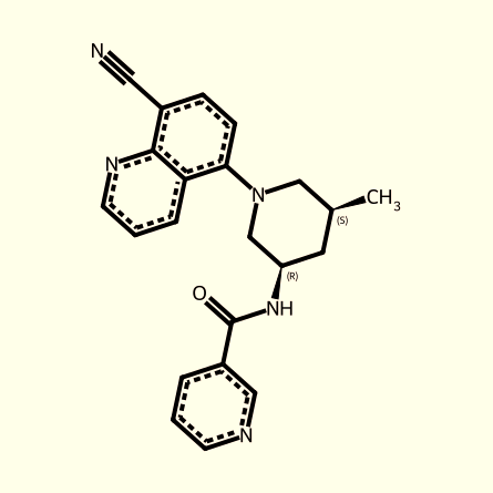 C[C@H]1C[C@@H](NC(=O)c2cccnc2)CN(c2ccc(C#N)c3ncccc23)C1